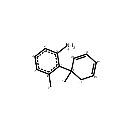 Cc1cccc(N)c1C1(C)C=CC=CC1